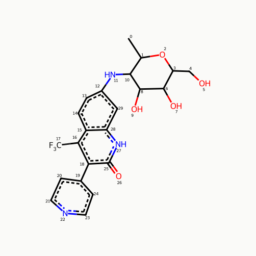 CC1OC(CO)C(O)C(O)C1Nc1ccc2c(C(F)(F)F)c(-c3ccncc3)c(=O)[nH]c2c1